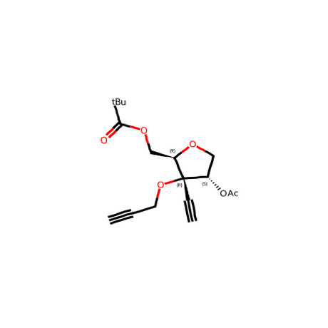 C#CCO[C@@]1(C#C)[C@@H](OC(C)=O)CO[C@@H]1COC(=O)C(C)(C)C